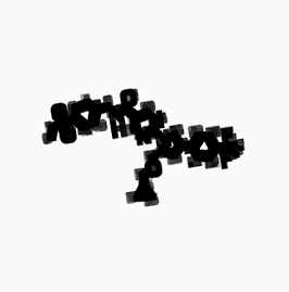 CCS(=O)(=O)c1ccc(CNC(=O)c2cnc(N3CC(c4ccc(C(F)(F)F)cc4)C[C@H]3COCC3CC3)nc2)cc1